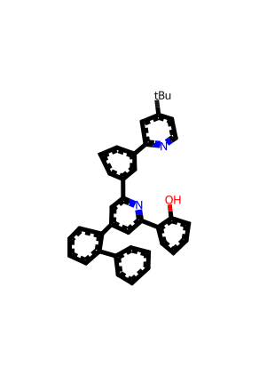 CC(C)(C)c1ccnc(-c2cccc(-c3cc(-c4ccccc4-c4ccccc4)cc(-c4ccccc4O)n3)c2)c1